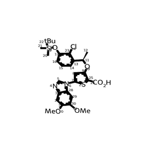 COc1cc2ncn(-c3cc(O[C@H](C)c4cccc(O[Si](C)(C)C(C)(C)C)c4Cl)c(C(=O)O)s3)c2cc1OC